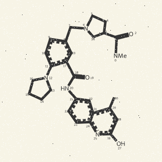 CNC(=O)C1CCN(Cc2ccc(N3CCCC3)c(C(=O)Nc3ccc4nc(O)cc(C)c4c3)c2)C1